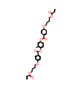 C=CC(=O)OCCCCOc1ccc(C(=O)Oc2ccc(OC(=O)C3=CCC(OCCCCOC(=O)C=C)C=C3)cc2C)cc1